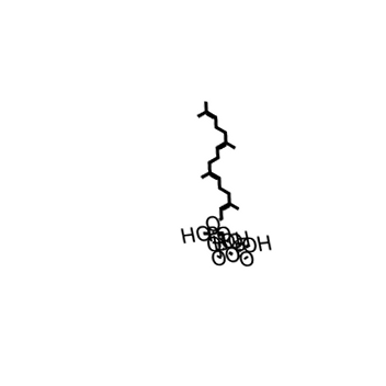 CC(C)=CCCC(C)=CCCC(C)=CCCC(C)=CCOP(=O)(O)OP(=O)(O)OP(=O)(O)O